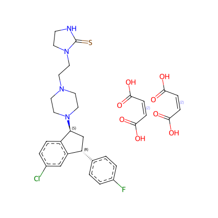 Fc1ccc([C@H]2C[C@H](N3CCN(CCN4CCNC4=S)CC3)c3ccc(Cl)cc32)cc1.O=C(O)/C=C\C(=O)O.O=C(O)/C=C\C(=O)O